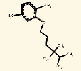 Cc1ccc(C)c(OCCCC(C)(C)C(C)C)c1